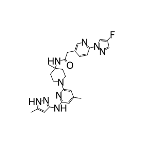 Cc1cc(Nc2cc(C)[nH]n2)nc(N2CCC(C)(NC(=O)Cc3ccc(-n4cc(F)cn4)nc3)CC2)c1